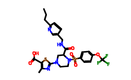 CCCc1ccc(CNC(=O)C2CN(c3nc(C)c(C(=O)O)s3)CCN2S(=O)(=O)c2ccc(OC(F)(F)F)cc2)cn1